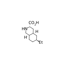 CC[C@H]1CC[C@H]2CN[C@H](C(=O)O)C[C@H]2C1